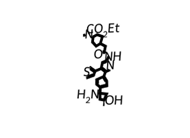 CCOC(=O)N(C)C1CCC(CC(=O)Nc2cc(-c3ccsc3)c(-c3ccc([C@]4(N)C[C@](C)(O)C4)cc3)cn2)CC1